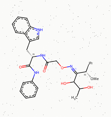 CO[C@H](/C(=N/OCC(=O)N[C@@H](Cc1c[nH]c2ccccc12)C(=O)Nc1ccccc1)C(O)C(C)O)C(C)C